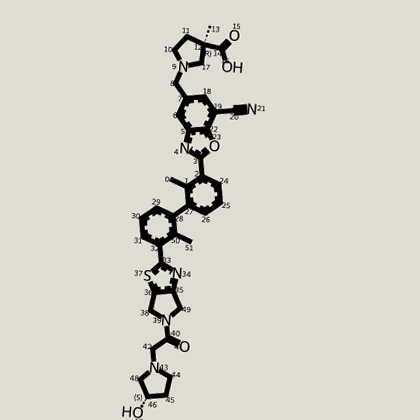 Cc1c(-c2nc3cc(CN4CC[C@@](C)(C(=O)O)C4)cc(C#N)c3o2)cccc1-c1cccc(-c2nc3c(s2)CN(C(=O)CN2CC[C@H](O)C2)C3)c1C